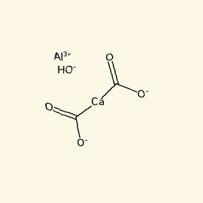 O=[C]([O-])[Ca][C](=O)[O-].[Al+3].[OH-]